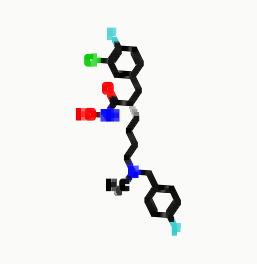 CN(CCCC[C@@H](Cc1ccc(F)c(Cl)c1)C(=O)NO)Cc1ccc(F)cc1